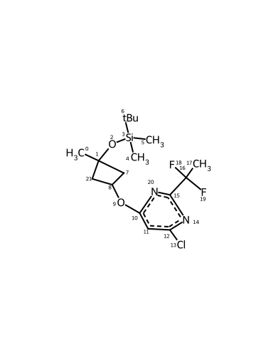 CC1(O[Si](C)(C)C(C)(C)C)CC(Oc2cc(Cl)nc(C(C)(F)F)n2)C1